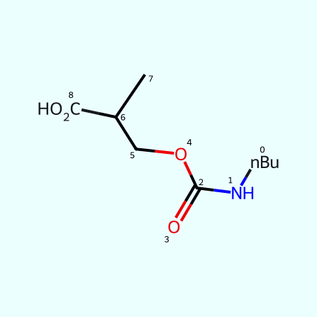 CCCCNC(=O)OCC(C)C(=O)O